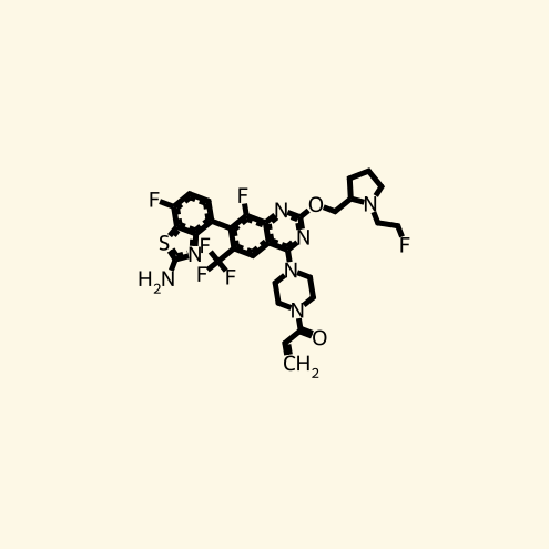 C=CC(=O)N1CCN(c2nc(OCC3CCCN3CCF)nc3c(F)c(-c4ccc(F)c5sc(N)nc45)c(C(F)(F)F)cc23)CC1